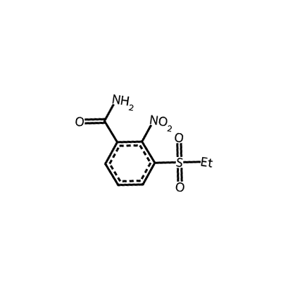 CCS(=O)(=O)c1cccc(C(N)=O)c1[N+](=O)[O-]